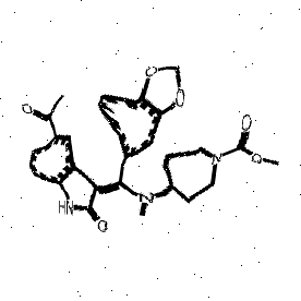 COC(=O)N1CCC(N(C)C(=C2C(=O)Nc3ccc(C(C)=O)cc32)c2ccc3c(c2)OCO3)CC1